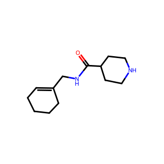 O=C(NCC1=CCCCC1)C1CCNCC1